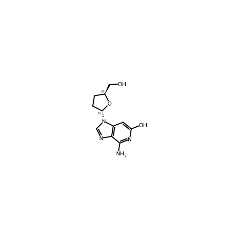 Nc1nc(O)cc2c1ncn2[C@@H]1CC[C@@H](CO)O1